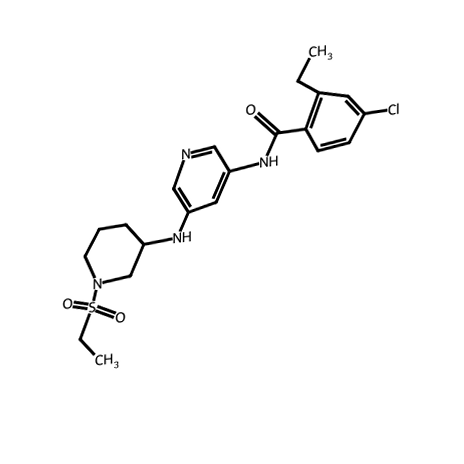 CCc1cc(Cl)ccc1C(=O)Nc1cncc(NC2CCCN(S(=O)(=O)CC)C2)c1